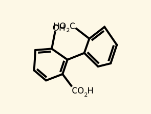 O=C(O)c1ccccc1-c1c(O)cccc1C(=O)O